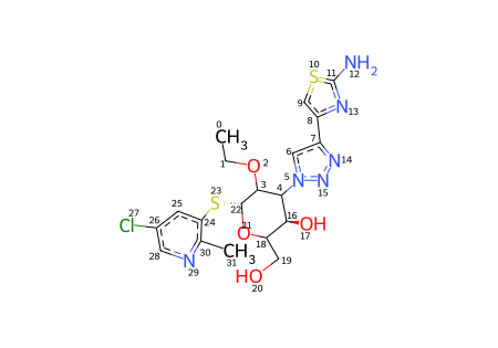 CCOC1C(n2cc(-c3csc(N)n3)nn2)[C@@H](O)C(CO)O[C@@H]1Sc1cc(Cl)cnc1C